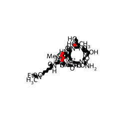 CCO/C(C)=N\OCCCCCC(=O)NCCSCc1c(OC)ccc2c3c([nH]c12)[S+]([O-])C[C@@H]1NC(=O)CNC(=O)[C@H]([C@@H](C)CC)NC(=O)CNC(=O)[C@H](C3)NC(=O)[C@H]([C@@H](C)[C@@H](O)CO)NC(=O)[C@@H]2C[C@@H](O)CN2C(=O)[C@H](CC(N)=O)NC1=O